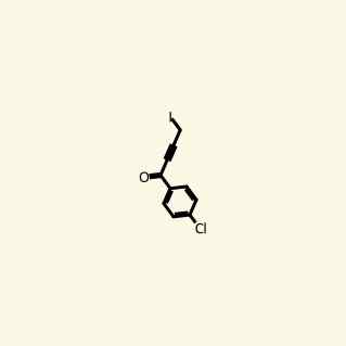 O=C(C#CCI)c1ccc(Cl)cc1